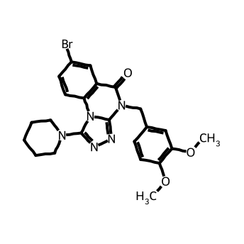 COc1ccc(Cn2c(=O)c3cc(Br)ccc3n3c(N4CCCCC4)nnc23)cc1OC